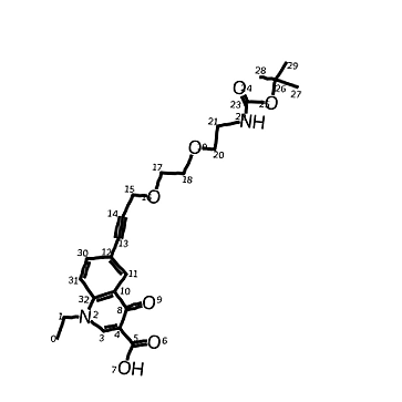 CCn1cc(C(=O)O)c(=O)c2cc(C#CCOCCOCCNC(=O)OC(C)(C)C)ccc21